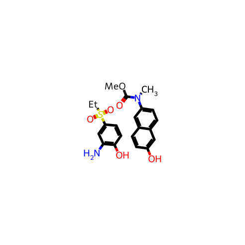 CCS(=O)(=O)c1ccc(O)c(N)c1.COC(=O)N(C)c1ccc2cc(O)ccc2c1